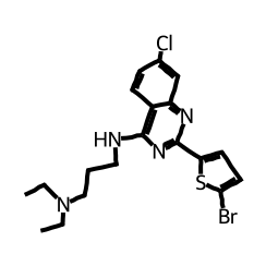 CCN(CC)CCCNc1nc(-c2ccc(Br)s2)nc2cc(Cl)ccc12